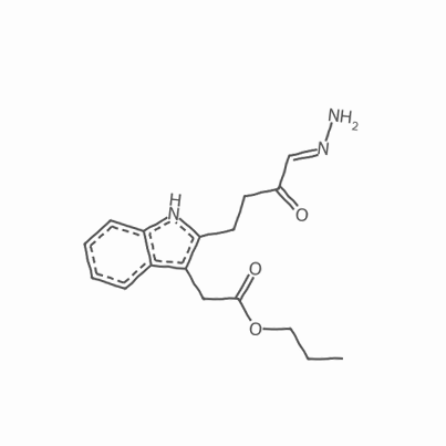 CCCOC(=O)Cc1c(CCC(=O)C=NN)[nH]c2ccccc12